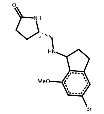 COc1cc(Br)cc2c1C(NC[C@@H]1CCC(=O)N1)CC2